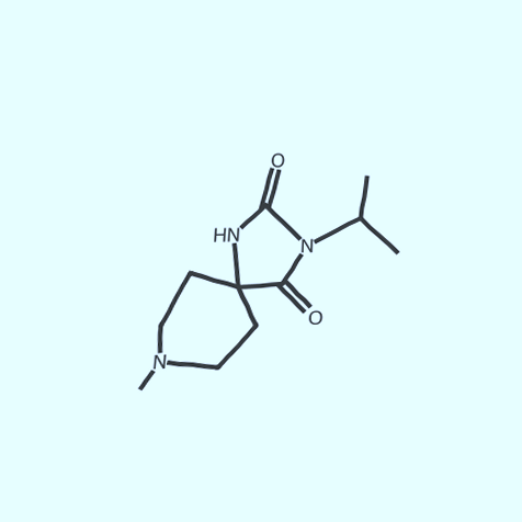 CC(C)N1C(=O)NC2(CCN(C)CC2)C1=O